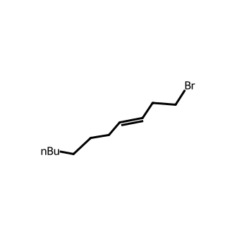 CCCCCCC/C=C/CCBr